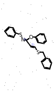 C(=C\C(=N\Sc1ccccc1)Oc1ccccc1)/SCc1ccccc1